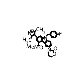 CNC(=O)c1cc(-c2c(C)noc2C)cc2c1c1cc(N3CCCOC3=O)ccc1n2Cc1ccc(F)cc1